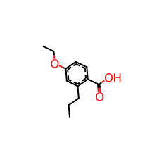 CCCc1cc(OCC)ccc1C(=O)O